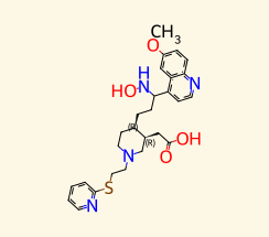 COc1ccc2nccc(C(CC[C@@H]3CCN(CCSc4ccccn4)C[C@@H]3CC(=O)O)NO)c2c1